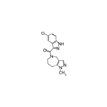 Cn1ncc2c1CCCN(C(=O)c1n[nH]c3ccc(Cl)cc13)C2